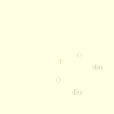 CCC(C)OP(OC(C)CC)c1ccccc1